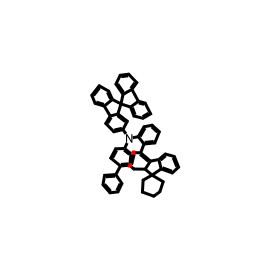 C1=CC(c2ccccc2N(c2ccc(-c3ccccc3)cc2)c2ccc3c(c2)C2(c4ccccc4-c4ccccc42)c2ccccc2-3)=C2c3ccccc3C3(CCCCC3)C2C1